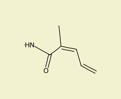 C=CC=C(C)C([NH])=O